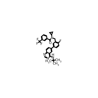 CC(C)(C)Nc1ncnc2ccc(-c3ccc(F)c(CN(C(=O)c4cccc(C(F)(F)F)c4)C4CC4)c3)cc12